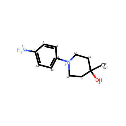 Nc1ccc(N2CCC(O)(C(F)(F)F)CC2)cc1